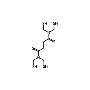 S=C(CCC(=S)N(CS)CS)N(CS)CS